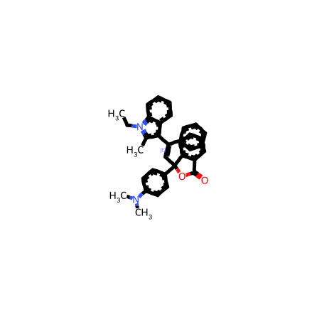 CCn1c(C)c(/C(=C/C2(c3ccc(N(C)C)cc3)OC(=O)c3ccccc32)c2ccccc2)c2ccccc21